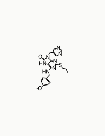 CCCSc1nc(NCc2ccc(OC)cc2)c2[nH]c(=O)n(Cc3cncnc3)c2n1